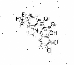 CCn1c(-c2ccc(Cl)c(Cl)c2)c(C(=O)O)c(=O)c2ccc(C(F)(F)F)cc21